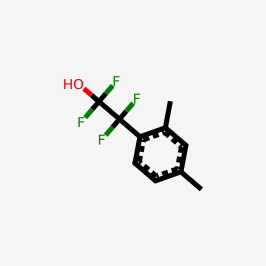 Cc1ccc(C(F)(F)C(O)(F)F)c(C)c1